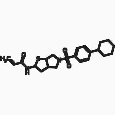 C=CC(=O)NC1CC2CN(S(=O)(=O)c3ccc(C4CCCCC4)cc3)CC2S1